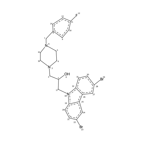 OC(CN1CCN(Cc2ccc(F)cc2)CC1)Cn1c2ccc(Br)cc2c2cc(Br)ccc21